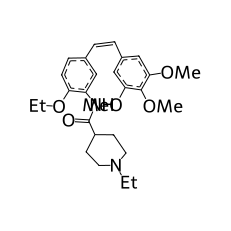 CCOc1ccc(/C=C\c2cc(OC)c(OC)c(OC)c2)cc1NC(=O)C1CCN(CC)CC1